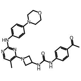 CC(=O)c1ccc(NC(=O)NC2CN(c3nc(Nc4ccc(N5CCOCC5)cc4)ncc3C)C2)cc1